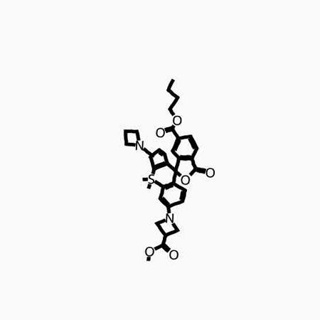 CCCCOC(=O)c1ccc2c(c1)C1(OC2=O)c2ccc(N3CCC3)cc2S(C)(C)c2cc(N3CC(C(=O)OC)C3)ccc21